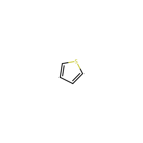 [c]1c[c]sc1